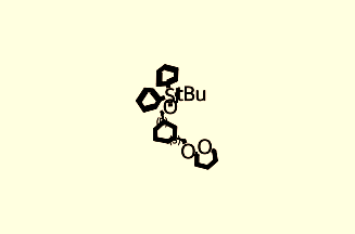 CC(C)(C)[Si](OC[C@@H]1CCC[C@H](COC2CCCCO2)C1)(c1ccccc1)c1ccccc1